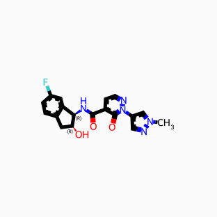 Cn1cc(-n2nccc(C(=O)N[C@@H]3c4cc(F)ccc4C[C@H]3O)c2=O)cn1